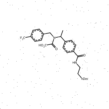 CCCCCCCCCCCCNC(=O)c1ccc(C(C)N(Cc2ccc(C(F)(F)F)cc2)C(=O)C(=O)O)cc1